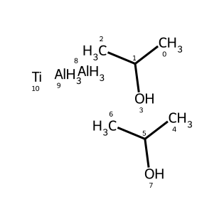 CC(C)O.CC(C)O.[AlH3].[AlH3].[Ti]